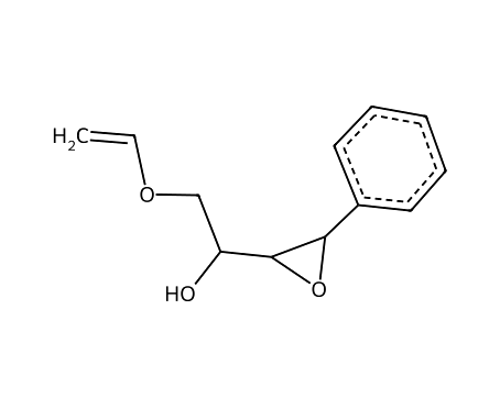 C=COCC(O)C1OC1c1ccccc1